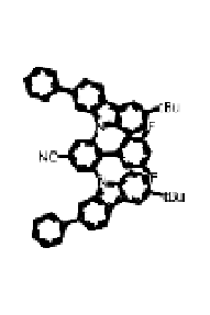 CC(C)(C)c1ccc2c(c1)c1ccc(-c3ccccc3)cc1n2-c1cc(C#N)cc(-n2c3ccc(C(C)(C)C)cc3c3ccc(-c4ccccc4)cc32)c1-c1cc(F)cc(F)c1